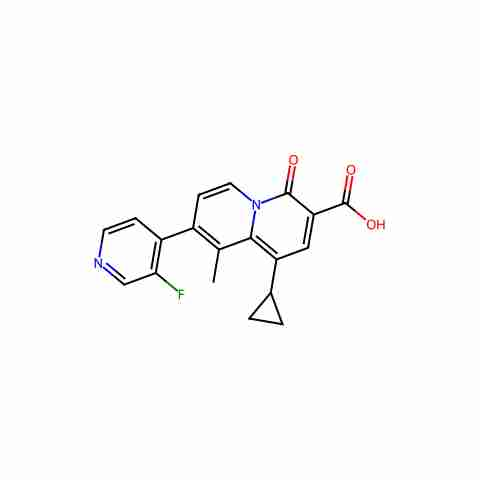 Cc1c(-c2ccncc2F)ccn2c(=O)c(C(=O)O)cc(C3CC3)c12